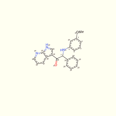 COc1cccc(NC(C(=O)c2c[nH]c3ncccc23)c2ccccc2)c1